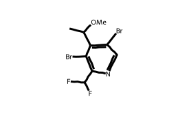 COC(C)c1c(Br)cnc(C(F)F)c1Br